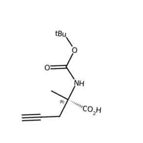 C#CC[C@@](C)(NC(=O)OC(C)(C)C)C(=O)O